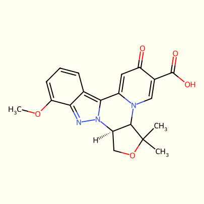 COc1cccc2c3n(nc12)[C@@H]1COC(C)(C)C1n1cc(C(=O)O)c(=O)cc1-3